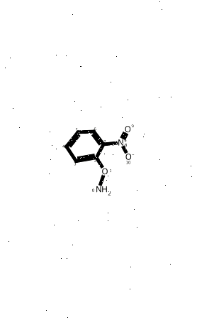 NOc1ccccc1[N+](=O)[O-]